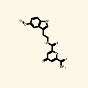 CCOc1ccc2[nH]cc(CCNC(=O)c3cc(=O)cc(C(N)=O)o3)c2c1